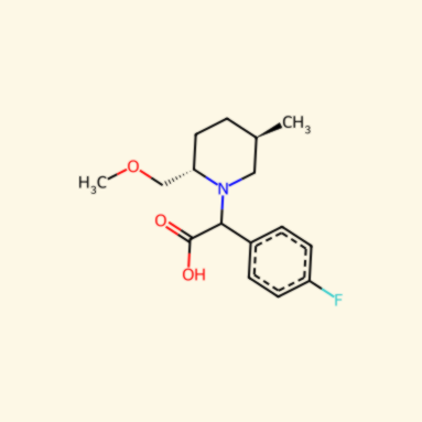 COC[C@@H]1CC[C@@H](C)CN1C(C(=O)O)c1ccc(F)cc1